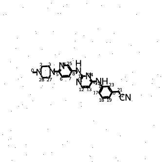 CN1CCN(c2ccc(Nc3nccc(Nc4cccc(CC#N)c4)n3)cn2)CC1